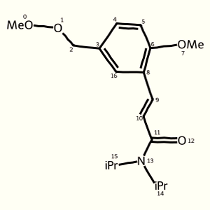 COOCc1ccc(OC)c(/C=C/C(=O)N(C(C)C)C(C)C)c1